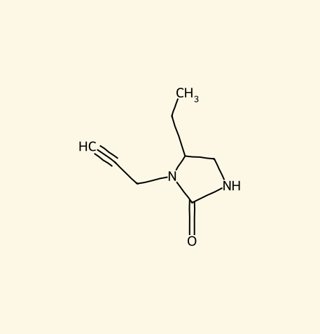 C#CCN1C(=O)NCC1CC